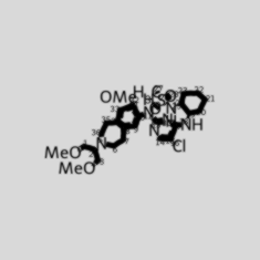 COCC(COC)N1CCc2cc(Nc3ncc(Cl)c(N[C@@H]4CCCC[C@H]4NS(C)(=O)=O)n3)c(OC)cc2CC1